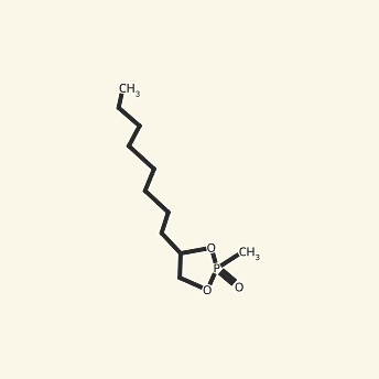 CCCCCCCCC1COP(C)(=O)O1